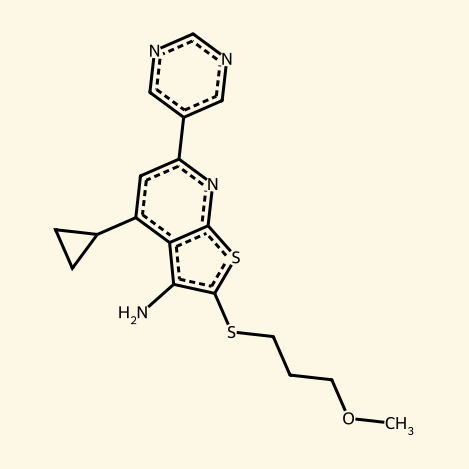 COCCCSc1sc2nc(-c3cncnc3)cc(C3CC3)c2c1N